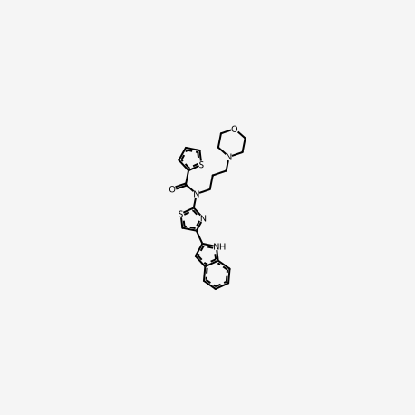 O=C(c1cccs1)N(CCCN1CCOCC1)c1nc(-c2cc3ccccc3[nH]2)cs1